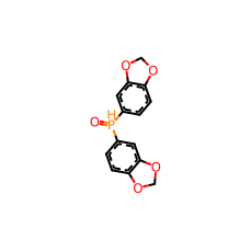 O=[PH](c1ccc2c(c1)OCO2)c1ccc2c(c1)OCO2